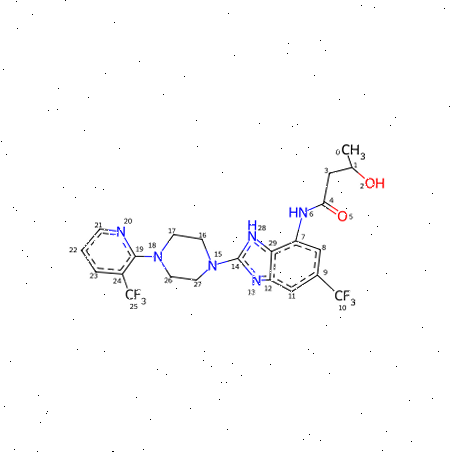 CC(O)CC(=O)Nc1cc(C(F)(F)F)cc2nc(N3CCN(c4ncccc4C(F)(F)F)CC3)[nH]c12